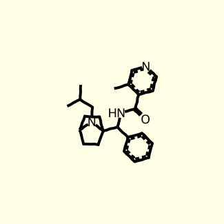 Cc1cnccc1C(=O)NC(c1ccccc1)C12CCC(CC1)N2CC(C)C